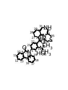 CN(C)c1cc(NC(=O)c2ccccc2-c2ccccc2)ccc1C(=O)C1CC=CC2=CNC=C3CSCCN3[C@H]21.Cl